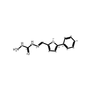 NNC(=O)N/N=C/c1ccc(-c2ccccc2)o1